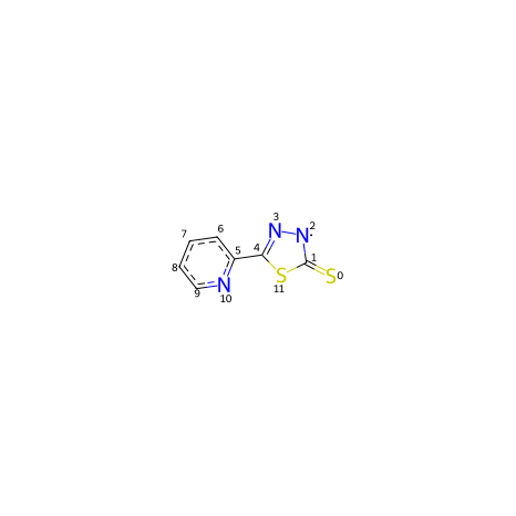 S=C1[N]N=C(c2ccccn2)S1